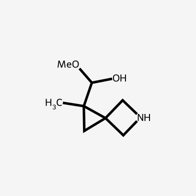 COC(O)C1(C)CC12CNC2